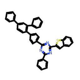 c1ccc(-c2ccc(-c3ccc(-c4nc(-c5ccccc5)nc(-c5cc6ccccc6s5)n4)cc3)c(-c3ccccc3)c2)cc1